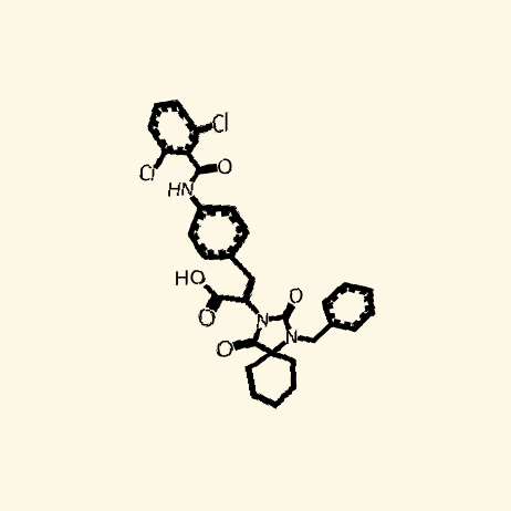 O=C(Nc1ccc(CC(C(=O)O)N2C(=O)N(Cc3ccccc3)C3(CCCCC3)C2=O)cc1)c1c(Cl)cccc1Cl